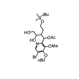 CCCCOc1c(Br)cnc(C(OC(C)=O)C(CCO[Si](C)(C)C(C)(C)C)C(O)CO)c1OC